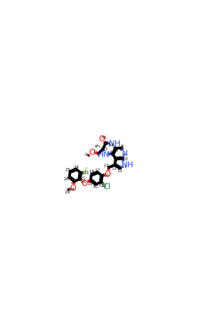 COC[C@]1(C)Nc2c(cnc3[nH]cc(COc4ccc(Oc5c(F)cccc5OC)cc4Cl)c23)NC1=O